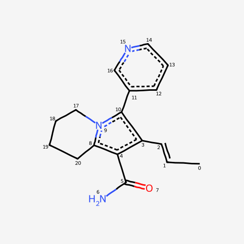 CC=Cc1c(C(N)=O)c2n(c1-c1cccnc1)CCCC2